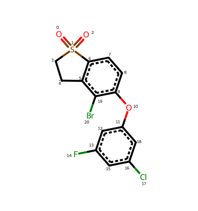 O=S1(=O)C[CH]c2c1ccc(Oc1cc(F)cc(Cl)c1)c2Br